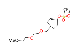 COCCOCCOCC1CC=C(OS(=O)(=O)C(F)(F)F)CC1